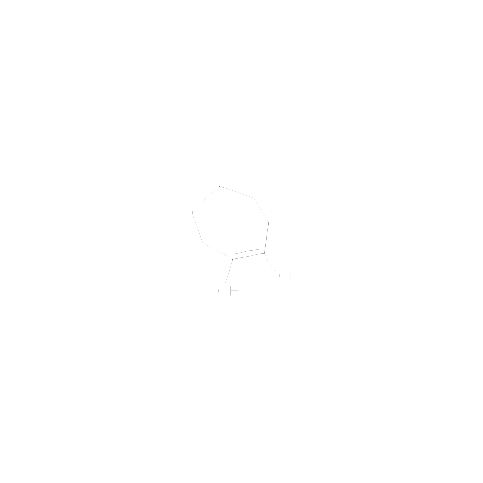 OC1=C(O)CCCCC1